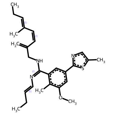 C=C(/C=C\C(C)=C\CC)CN/C(=N/C=C/CC)c1cc(-c2ncc(C)s2)cc(OC)c1C